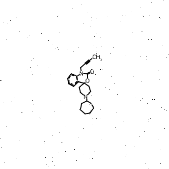 CC#CCN1C(=O)OC2(CCN(C3CCCCCC3)CC2)c2ccccc21